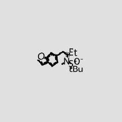 CC[C@@H](Cc1ccc2ccoc2c1)N(C)[S+]([O-])C(C)(C)C